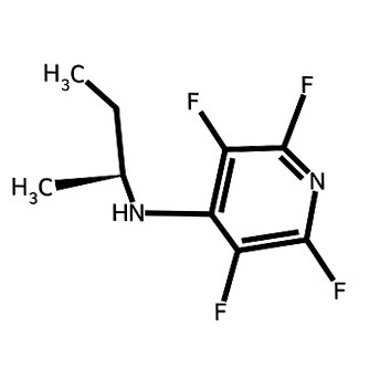 CC[C@H](C)Nc1c(F)c(F)nc(F)c1F